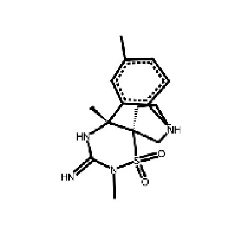 Cc1ccc(F)c([C@@]2(C)NC(=N)N(C)S(=O)(=O)[C@@]23CCNC3)c1